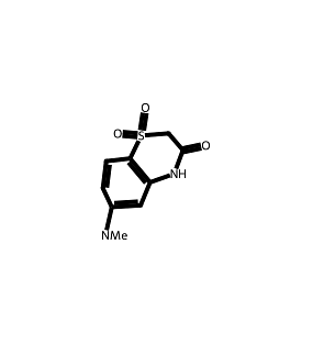 CNc1ccc2c(c1)NC(=O)CS2(=O)=O